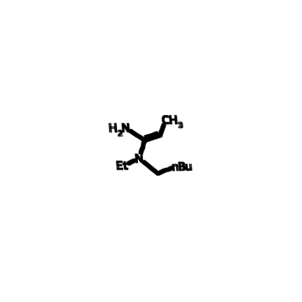 CC=C(N)N(CC)CCCCC